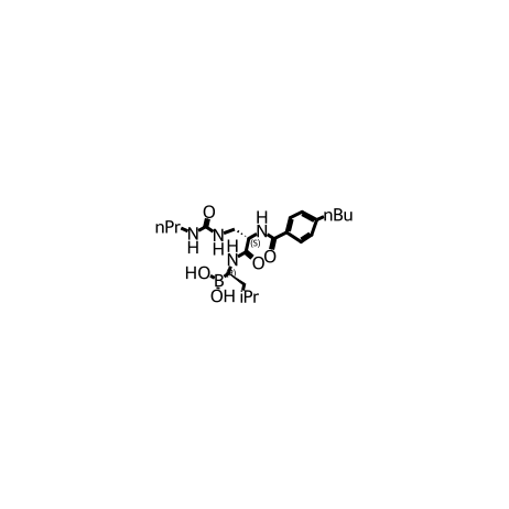 CCCCc1ccc(C(=O)N[C@@H](CNC(=O)NCCC)C(=O)N[C@@H](CC(C)C)B(O)O)cc1